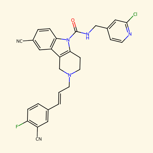 N#Cc1ccc2c(c1)c1c(n2C(=O)NCc2ccnc(Cl)c2)CCN(C/C=C/c2ccc(F)c(C#N)c2)C1